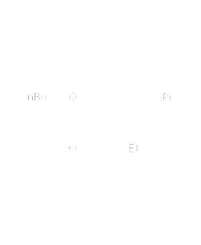 CCCCOC(=O)C(CC)CC(C)C